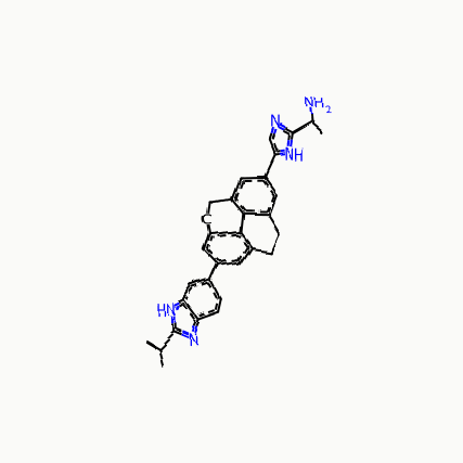 CC(C)c1nc2ccc(-c3cc4c5c(c3)CCc3cc(-c6cnc(C(C)N)[nH]6)cc(c3-5)CC4)cc2[nH]1